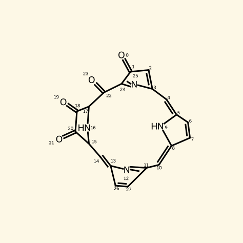 O=C1C=C2C=c3ccc([nH]3)=CC3=NC(=CC4NC(C(=O)C4=O)C(=O)C1=N2)C=C3